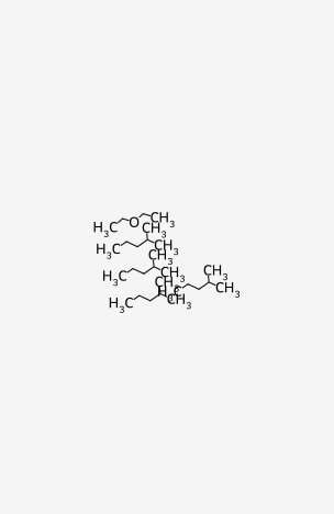 CCCC(C)C.CCCC(C)C.CCCC(C)C.CCCC(C)C.CCOCC